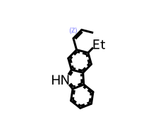 C/C=C\c1cc2[nH]c3ccccc3c2cc1CC